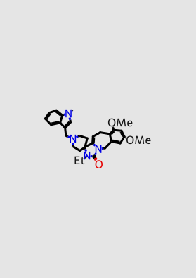 CCN1C(=O)N2Cc3cc(OC)cc(OC)c3CC=C2C12CCN(Cc1cn(C)c3ccccc13)CC2